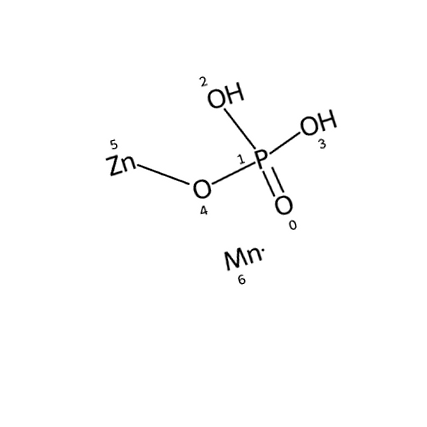 O=P(O)(O)[O][Zn].[Mn]